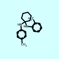 Cc1ccc(NC2(Nc3ccccc3C)CCCCC2)cc1